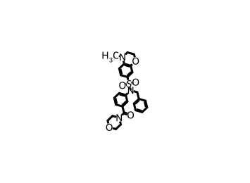 CN1CCOc2cc(S(=O)(=O)N(Cc3ccccc3)c3cccc(C(=O)N4CCOCC4)c3)ccc21